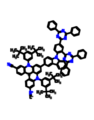 [C-]#[N+]c1ccc2c(c1)N(c1cc(C(C)(C)C)cc(C(C)(C)C)c1)c1cc(-c3ccc4c(c3)c3ccccc3n4-c3ccc(-c4nc(-c5ccccc5)nc(-c5ccccc5)n4)cc3-c3nc(-c4ccccc4)nc(-c4ccccc4)n3)cc3c1B2c1ccc(C#N)cc1N3c1cc(C(C)(C)C)cc(C(C)(C)C)c1